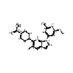 COc1cc(-n2ncc3cc(C)c(C4CCN(C(=O)O)CC4)nc32)cc(Cl)n1